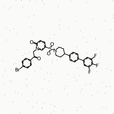 O=C(Cn1cc(S(=O)(=O)N2CCC(c3ccc(-c4cc(F)c(F)c(F)c4)cc3)CC2)ccc1=O)c1ccc(Br)cc1